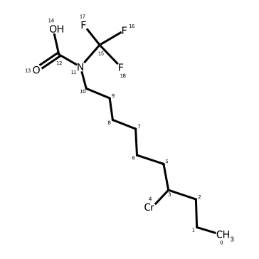 CCC[CH]([Cr])CCCCCCN(C(=O)O)C(F)(F)F